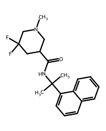 CN1CC(C(=O)NC(C)(C)c2cccc3ccccc23)CC(F)(F)C1